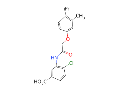 Cc1cc(OCC(=O)Nc2cc(C(=O)O)ccc2Cl)ccc1C(C)C